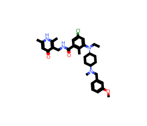 CCN(c1cc(Cl)cc(C(=O)NCc2c(C)[nH]c(C)cc2=O)c1C)[C@H]1CC[C@H](N(C)Cc2cccc(OC)c2)CC1